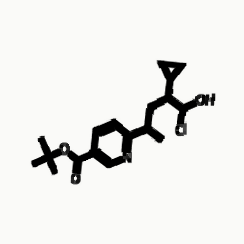 CC(CC(C(O)Cl)C1CC1)c1ccc(C(=O)OC(C)(C)C)cn1